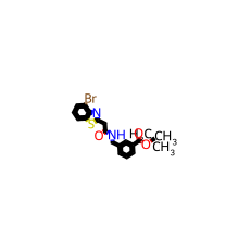 CC(C)(C)OC(=O)c1cccc(CNC(=O)Cc2nc3c(Br)cccc3s2)c1